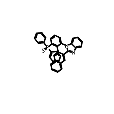 S=P(c1ccccc1)(c1ccccc1)c1cccc2c1c1cc3ccccc3cc1c1nc3ccccc3n21